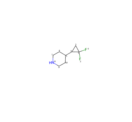 FC1(F)CC1C1CCNCC1